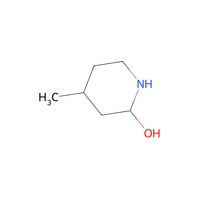 CC1CCNC(O)C1